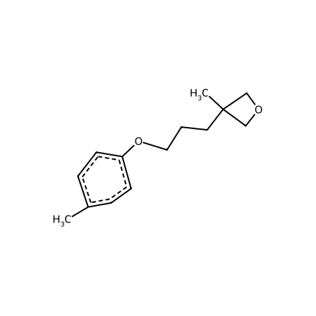 Cc1ccc(OCCCC2(C)COC2)cc1